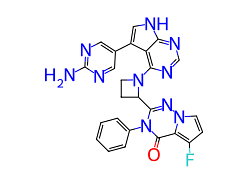 Nc1ncc(-c2c[nH]c3ncnc(N4CCC4c4nn5ccc(F)c5c(=O)n4-c4ccccc4)c23)cn1